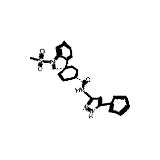 CS(=O)(=O)N1C[C@]2(CC[C@@H](C(=O)Nc3cc(-c4ccccc4)[nH]n3)CC2)c2ccccc21